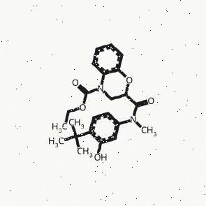 CCOC(=O)N1CC(C(=O)N(C)c2ccc(C(C)(C)C)c(O)c2)Oc2ccccc21